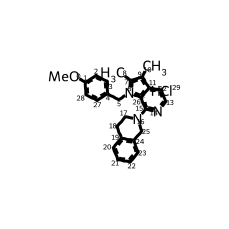 COc1ccc(Cn2c(C)c(C)c3ccnc(N4CCc5ccccc5C4)c32)cc1.Cl